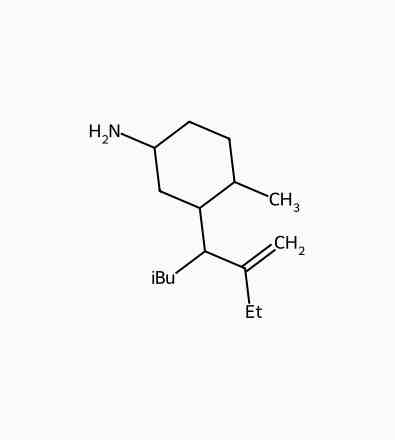 C=C(CC)C(C(C)CC)C1CC(N)CCC1C